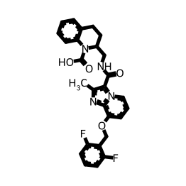 Cc1nc2c(OCc3c(F)cccc3F)cccn2c1C(=O)NCC1CCc2ccccc2N1C(=O)O